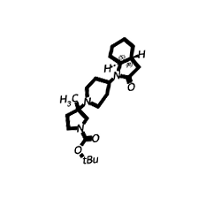 CC(C)(C)OC(=O)N1CCC(C)(N2CCC(N3C(=O)C[C@H]4CCCC[C@@H]43)CC2)C1